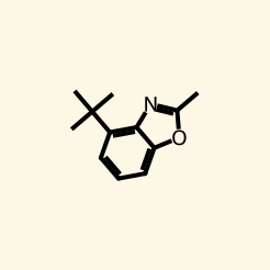 Cc1nc2c(C(C)(C)C)cccc2o1